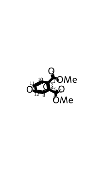 COC(=O)c1c(C(=O)OC)c2oc1c1c2O1